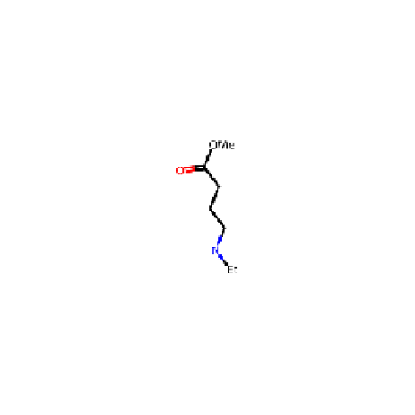 CC[N]CCCC(=O)OC